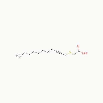 CCCCCCCCC#CCSCC(=O)O